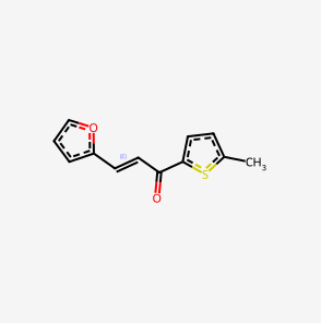 Cc1ccc(C(=O)/C=C/c2ccco2)s1